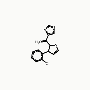 C=C(c1cscn1)C1SC=CC1c1ccccc1Cl